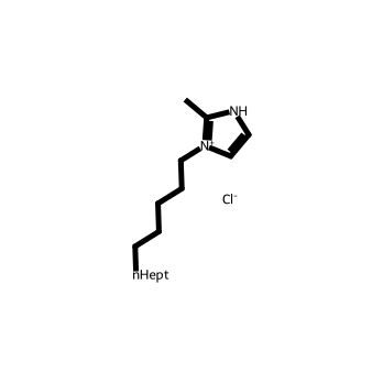 CCCCCCCCCCCC[n+]1cc[nH]c1C.[Cl-]